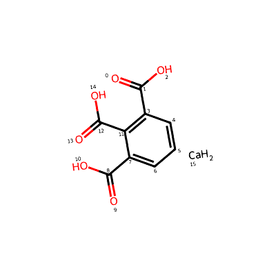 O=C(O)c1cccc(C(=O)O)c1C(=O)O.[CaH2]